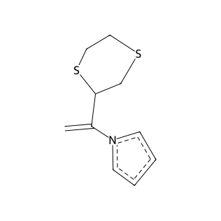 C=C(C1CSCCS1)n1cccc1